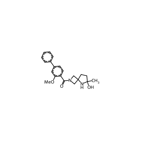 COc1cc(-c2ccccc2)ccc1C(=O)N1CC2(CCC(C)(O)N2)C1